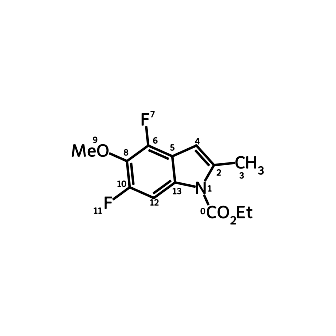 CCOC(=O)n1c(C)cc2c(F)c(OC)c(F)cc21